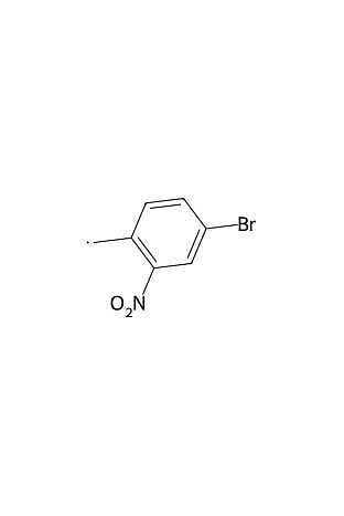 [CH2]c1ccc(Br)cc1[N+](=O)[O-]